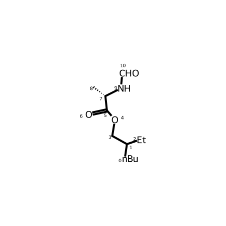 CCCCC(CC)COC(=O)[C@H](C)NC=O